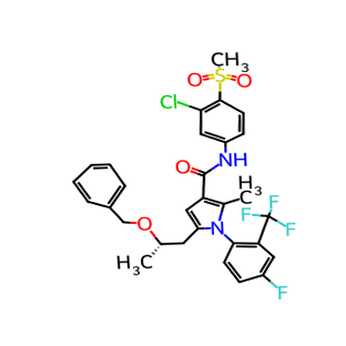 Cc1c(C(=O)Nc2ccc(S(C)(=O)=O)c(Cl)c2)cc(C[C@H](C)OCc2ccccc2)n1-c1ccc(F)cc1C(F)(F)F